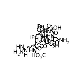 CC[C@H](C)[C@H](NC(=O)[C@@H](N)CC(C)C)C(=O)N[C@H](C(=O)N[C@@H](CC(N)=O)C(=O)N[C@@H](CS)C(=O)N1CCC[C@H]1C(=O)N[C@@H](CCCNC(=N)N)C(=O)NCC(=O)O)[C@@H](C)O